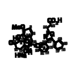 COc1ccc2c3c1O[C@H]1C(=O)CC[C@@]4(O)[C@@H](C2)N(C)CC[C@]314.O=C(O)CCc1nc(-c2ccccc2)c(-c2ccccc2)o1.[NaH]